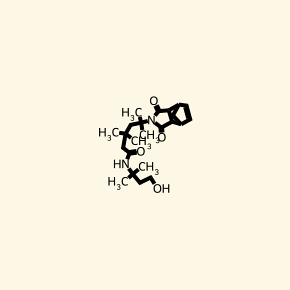 CC(C)(CC(=O)NC(C)(C)CCO)CC(C)(C)N1C(=O)C2C3C=CC(C3)C2C1=O